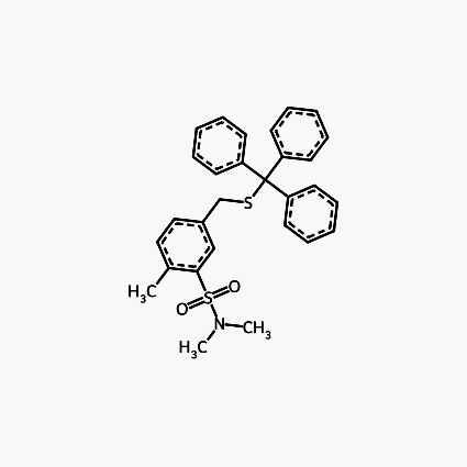 Cc1ccc(CSC(c2ccccc2)(c2ccccc2)c2ccccc2)cc1S(=O)(=O)N(C)C